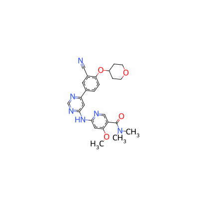 COc1cc(Nc2cc(-c3ccc(OC4CCOCC4)c(C#N)c3)ncn2)ncc1C(=O)N(C)C